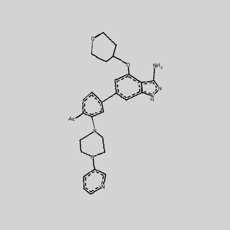 CC(=O)c1ccc(-c2cc(OC3CCOCC3)c3c(N)n[nH]c3c2)cc1N1CCN(c2cccnc2)CC1